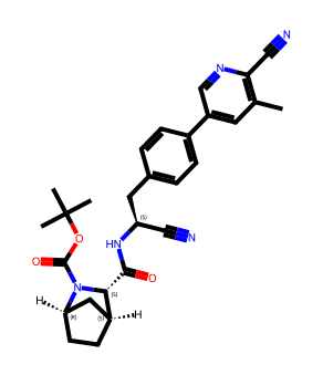 Cc1cc(-c2ccc(C[C@@H](C#N)NC(=O)[C@@H]3[C@H]4CC[C@H](C4)N3C(=O)OC(C)(C)C)cc2)cnc1C#N